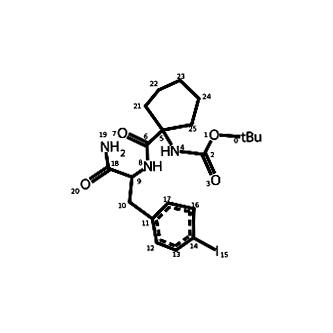 CC(C)(C)OC(=O)NC1(C(=O)NC(Cc2ccc(I)cc2)C(N)=O)CCCCC1